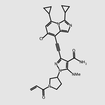 C=CC(=O)N1CCC(n2nc(C#Cc3c(Cl)cc(C4CC4)n4c(C5CC5)ncc34)c(C(N)=O)c2NC)C1